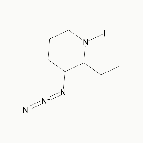 CCC1C(N=[N+]=[N-])CCCN1I